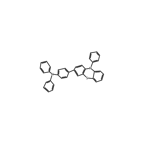 c1ccc(N(c2ccccc2)c2ccc(-c3ccc4c(c3)Sc3ccccc3N4c3ccccc3)cc2)cc1